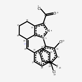 O=C(Cl)c1nn(-c2ccc(Cl)cc2Cl)c2c1CCC/C2=C/c1ccc(F)cc1